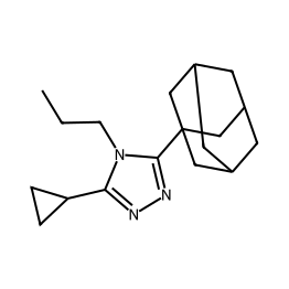 CCCn1c(C2CC2)nnc1C12CC3CC(CC(C3)C1)C2